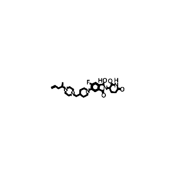 C=CCC(C)N1CCN(CC2CCN(c3cc4c(cc3F)C(O)N(C3CCC(=O)NC3=O)C4=O)CC2)CC1